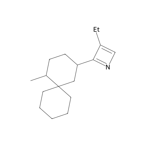 CCC1=CN=C1C1CCC(C)C2(CCCCC2)C1